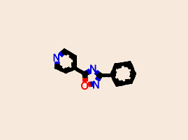 c1ccc(-c2noc(-c3ccncc3)n2)cc1